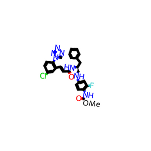 COC(=O)Nc1ccc(NC[C@H](Cc2ccccc2)NC(=O)/C=C/c2cc(Cl)ccc2-n2cnnn2)cc1F